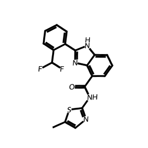 Cc1cnc(NC(=O)c2cccc3[nH]c(-c4ccccc4C(F)F)nc23)s1